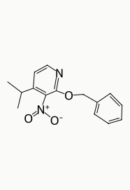 CC(C)c1ccnc(OCc2ccccc2)c1[N+](=O)[O-]